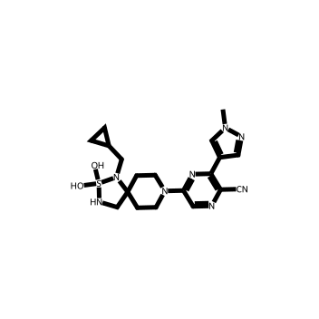 Cn1cc(-c2nc(N3CCC4(CC3)CNS(O)(O)N4CC3CC3)cnc2C#N)cn1